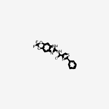 O=C(Nc1nc2cc3c(cc2[nH]1)OC(F)(F)O3)c1csc(-c2ccccc2)n1